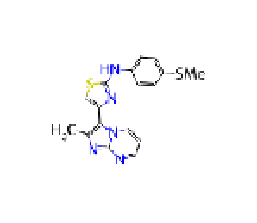 CSc1ccc(Nc2nc(-c3c(C)nc4ncccn34)cs2)cc1